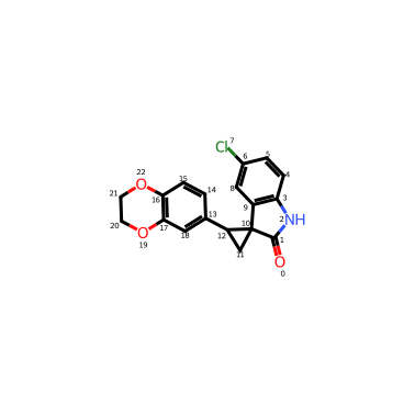 O=C1Nc2ccc(Cl)cc2C12CC2c1ccc2c(c1)OCCO2